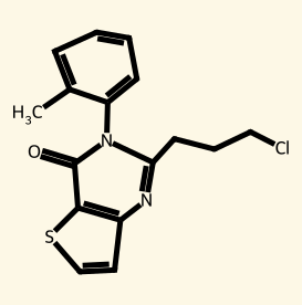 Cc1ccccc1-n1c(CCCCl)nc2ccsc2c1=O